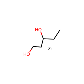 CCC(O)CCO.[Zr]